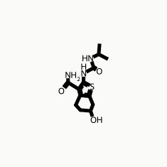 CC(C)NC(=O)Nc1sc2c(c1C(N)=O)CCC(O)C2